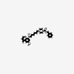 COc1cc(NCCCCCCN2CCN(C(=O)OCc3ccccc3)CC2)c2nccc(C)c2c1